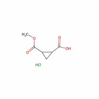 COC(=O)C1CC1C(=O)O.Cl